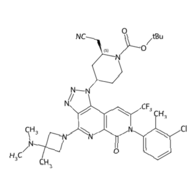 Cc1c(Cl)cccc1-n1c(C(F)(F)F)cc2c(nc(N3CC(C)(N(C)C)C3)c3nnn(C4CCN(C(=O)OC(C)(C)C)[C@H](CC#N)C4)c32)c1=O